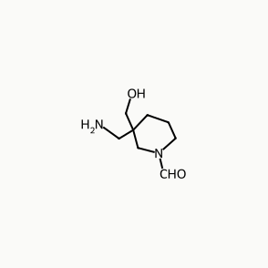 NCC1(CO)CCCN(C=O)C1